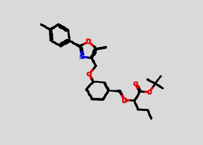 CCCC(OC[C@H]1CCC[C@@H](OCc2nc(-c3ccc(C)cc3)oc2C)C1)C(=O)OC(C)(C)C